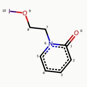 O=c1ccccn1CCOI